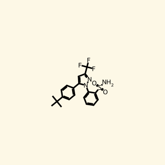 CC(C)(C)c1ccc(-c2cc(C(F)(F)F)nn2-c2ccccc2S(N)(=O)=O)cc1